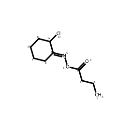 CCCC(=O)ON=C1CCCCC1Cl